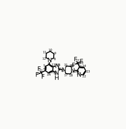 FC(F)(F)c1cc(N2CCCCC2)c2nc(N3CCN(c4ncccc4C(F)(F)F)CC3)[nH]c2c1